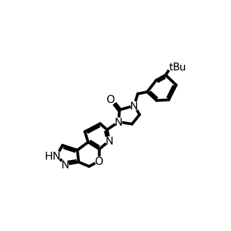 CC(C)(C)c1cccc(CN2CCN(c3ccc4c(n3)OCc3n[nH]cc3-4)C2=O)c1